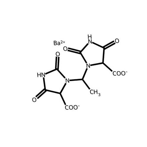 CC(N1C(=O)NC(=O)C1C(=O)[O-])N1C(=O)NC(=O)C1C(=O)[O-].[Ba+2]